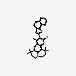 Cc1c(-c2nc3ccc4ccccc4c3s2)c(=O)oc2c3c4c(cc12)C(C)(C)CCN4CCC3(C)C